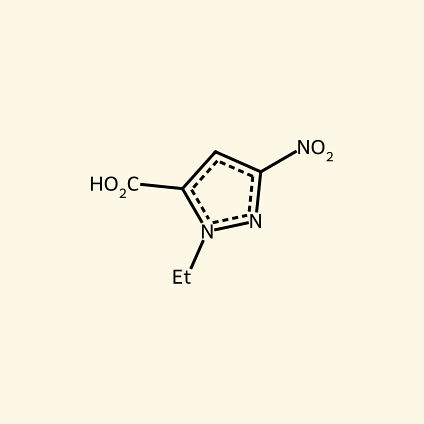 CCn1nc([N+](=O)[O-])cc1C(=O)O